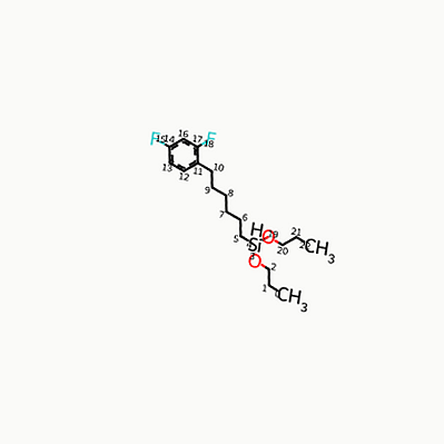 CCCO[SiH](CCCCCCc1ccc(F)cc1F)OCCC